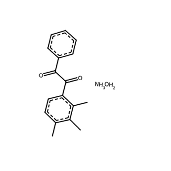 Cc1ccc(C(=O)C(=O)c2ccccc2)c(C)c1C.N.O